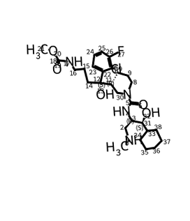 CNC[C@@H](NC(=O)N1CCC[C@@H]([C@@](O)(CCCNC(=O)OC)c2cccc(F)c2Cl)C1)[C@@H](O)C1CCCCC1